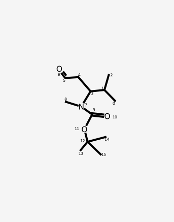 CC(C)C(CC=O)N(C)C(=O)OC(C)(C)C